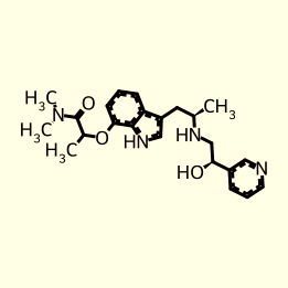 CC(Oc1cccc2c(C[C@@H](C)NC[C@H](O)c3cccnc3)c[nH]c12)C(=O)N(C)C